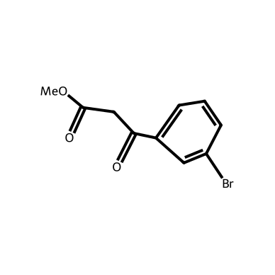 COC(=O)CC(=O)c1cccc(Br)c1